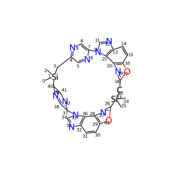 C[Si]1(C)Cc2cnc(cn2)-n2cnc3ccc4oc(nc4c32)C[Si](C)(C)c2nc3c(ccc4ncn(c43)-c3cnc1cn3)o2